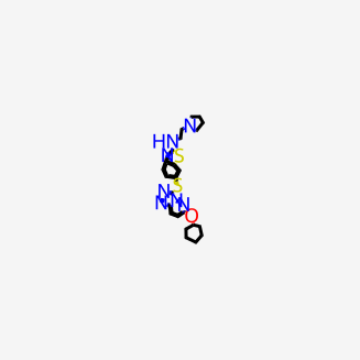 c1cc2nc(NCCN3CCCC3)sc2cc1Sc1nnc2ccc(OC3CCCCC3)nn12